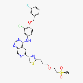 CC(C)S(=O)(=O)CCOCCCc1nc(-c2cc3c(Nc4ccc(OCc5cccc(F)c5)c(Cl)c4)ncnc3cn2)cs1